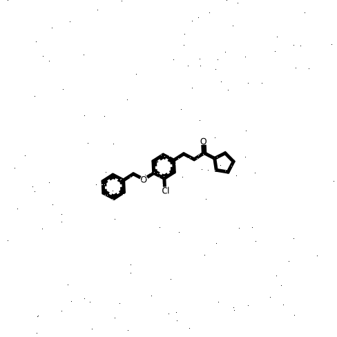 O=C(CCc1ccc(OCc2ccccc2)c(Cl)c1)C1CCCC1